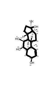 CC(=O)[C@@]1(O)CC[C@H]2[C@@H]3[C@H](O)[C@H](O)C4C[C@H](O)C=C[C@]4(C)[C@H]3CC[C@@]21C